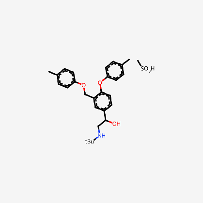 CS(=O)(=O)O.Cc1ccc(OCc2cc(C(O)CNC(C)(C)C)ccc2Oc2ccc(C)cc2)cc1